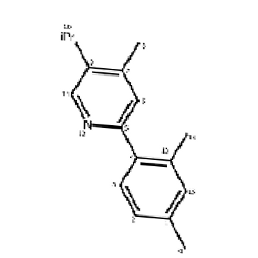 Cc1ccc(-c2cc(C)c(C(C)C)cn2)c(C)c1